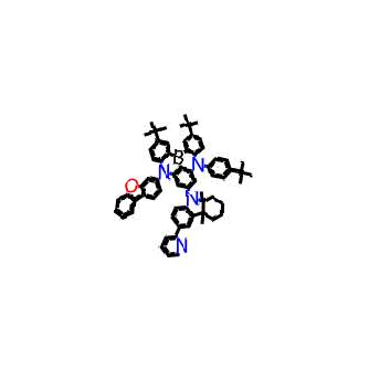 CC(C)(C)c1ccc(N2c3ccc(C(C)(C)C)cc3B3c4cc(C(C)(C)C)ccc4N(c4ccc5c(c4)oc4ccccc45)c4cc(N5c6ccc(-c7ccccn7)cc6C6(C)CCCCC56C)cc2c43)cc1